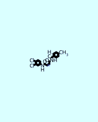 Cc1ccc(C(C)NC(=O)/C=C\C(=O)Nc2ccc(Cl)c(Cl)c2)cc1